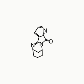 O=C1c2ncccc2C2=NC3CCCC(C3)N12